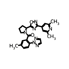 Cc1ccc(-n2nccn2)c(C(=O)N2CCCC2c2nc(-c3cc(C)nc(C)c3)no2)c1